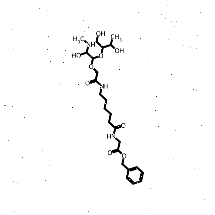 CNC(O)C(OCC(=O)NCCCCCC(=O)NCC(=O)OCc1ccccc1)OC(CO)C(C)O